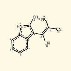 Cc1[nH]c2ccccc2c1C(C#N)=C(C#N)C#N